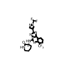 O=C1NCCCC[C@H]1Nc1nc2c(C(F)(F)F)cccc2c2nc(-c3cnn(C(F)F)c3)nn12